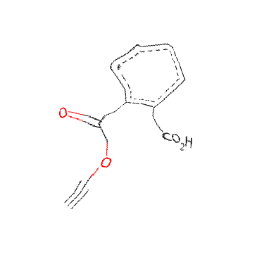 C#COC(=O)c1ccccc1C(=O)O